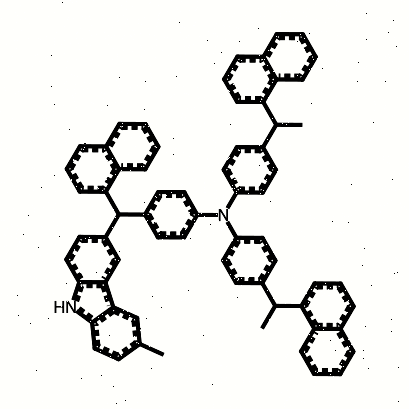 Cc1ccc2[nH]c3ccc(C(c4ccc(N(c5ccc(C(C)c6cccc7ccccc67)cc5)c5ccc(C(C)c6cccc7ccccc67)cc5)cc4)c4cccc5ccccc45)cc3c2c1